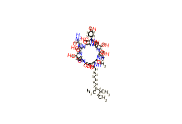 CC[C@H](C)C[C@H](C)CCCCCCCCC(=O)N[C@H]1C[C@@H](O)[C@@H](O)NC(=O)[C@@H]2C[C@@H](O)CN2C(=O)[C@H]([C@H](O)CC(N)=O)NC(=O)[C@H]([C@H](O)[C@@H](O)c2ccc(O)cc2)NC(=O)[C@@H]2C[C@@H](O)CN2C(=O)[C@H]([C@@H](C)O)NC1=O